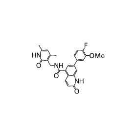 COc1cc(-c2cc(C(=O)NCc3c(C)cc(C)[nH]c3=O)c3ccc(=O)[nH]c3c2)ccc1F